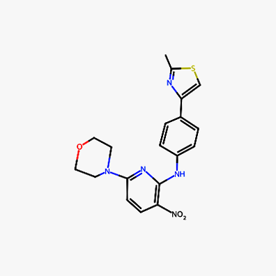 Cc1nc(-c2ccc(Nc3nc(N4CCOCC4)ccc3[N+](=O)[O-])cc2)cs1